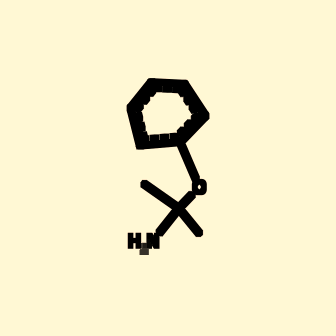 CC(C)(N)Oc1ccccc1